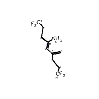 C=C(/C=C(\N)CCC(F)(F)F)CCC(F)(F)F